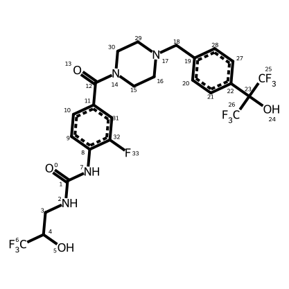 O=C(NCC(O)C(F)(F)F)Nc1ccc(C(=O)N2CCN(Cc3ccc(C(O)(C(F)(F)F)C(F)(F)F)cc3)CC2)cc1F